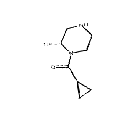 C[C@@H]1CNCCN1C(=O)C1CC1